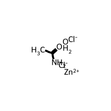 CC(N)=O.O.[Cl-].[Cl-].[Zn+2]